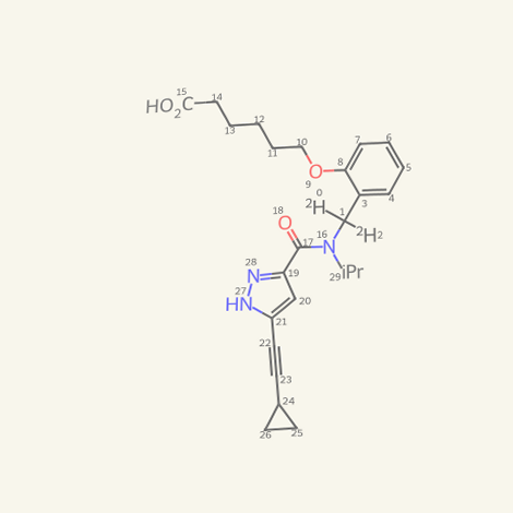 [2H]C([2H])(c1ccccc1OCCCCCC(=O)O)N(C(=O)c1cc(C#CC2CC2)[nH]n1)C(C)C